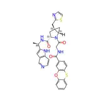 C[C@@H](NC(=O)[C@@H]1C[C@]2(Cc3nccs3)C[C@@H]2N1C(=O)CNC(=O)c1ccc2c(c1)Oc1ccccc1S2)c1cc2cnccc2[nH]1